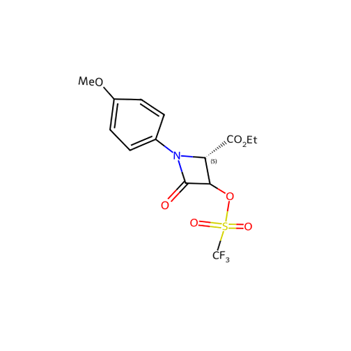 CCOC(=O)[C@@H]1C(OS(=O)(=O)C(F)(F)F)C(=O)N1c1ccc(OC)cc1